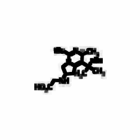 CCCCC(C)(C)C1=C2CC(NCC(=O)O)CN2C(C(C)(C)C)=N[C@H]1C